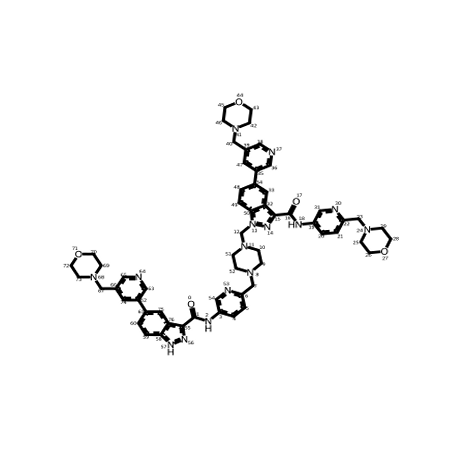 O=C(Nc1ccc(CN2CCN(Cn3nc(C(=O)Nc4ccc(CN5CCOCC5)nc4)c4cc(-c5cncc(CN6CCOCC6)c5)ccc43)CC2)nc1)c1n[nH]c2ccc(-c3cncc(CN4CCOCC4)c3)cc12